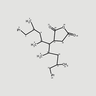 CC(C)CC(C)CC(C)C(C(C)CC(C)CC(C)C)C1CC(=O)OC1=O